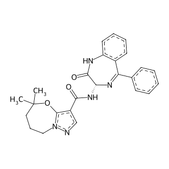 CC1(C)CCCn2ncc(C(=O)N[C@H]3N=C(c4ccccc4)c4ccccc4NC3=O)c2O1